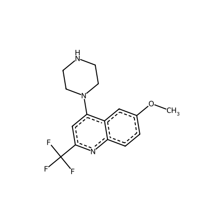 COc1ccc2nc(C(F)(F)F)cc(N3CCNCC3)c2c1